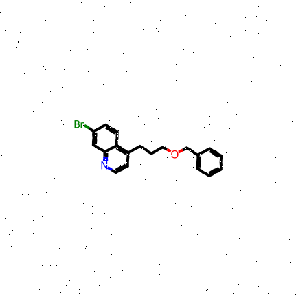 Brc1ccc2c(CCCOCc3ccccc3)ccnc2c1